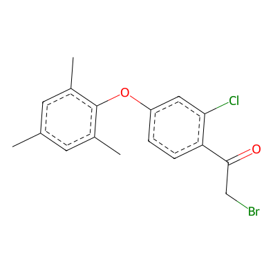 Cc1cc(C)c(Oc2ccc(C(=O)CBr)c(Cl)c2)c(C)c1